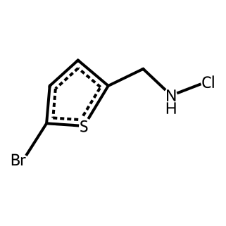 ClNCc1ccc(Br)s1